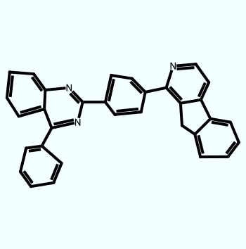 c1ccc(-c2nc(-c3ccc(-c4nccc5c4Cc4ccccc4-5)cc3)nc3ccccc23)cc1